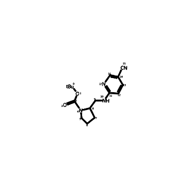 CC(C)(C)OC(=O)N1CCCC1CNc1ccc(C#N)cn1